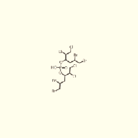 O=P(O)(OC(CC(Br)CBr)C(Cl)CCl)OC(CC(Br)CBr)C(Cl)CCl